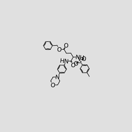 Cc1ccc(S(=O)(=O)NC(CCC(=O)OCc2ccccc2)C(=O)Nc2ccc(N3CCOCC3)cc2)cc1